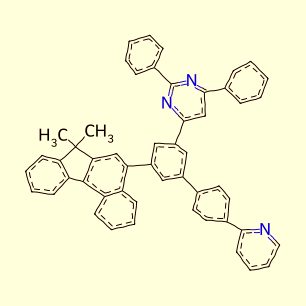 CC1(C)c2ccccc2-c2c1cc(-c1cc(-c3ccc(-c4ccccn4)cc3)cc(-c3cc(-c4ccccc4)nc(-c4ccccc4)n3)c1)c1ccccc21